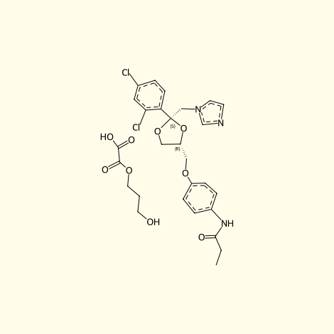 CCC(=O)Nc1ccc(OC[C@@H]2CO[C@@](Cn3ccnc3)(c3ccc(Cl)cc3Cl)O2)cc1.O=C(O)C(=O)OCCCO